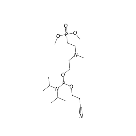 COP(=O)(CCN(C)CCOP(OCCC#N)N(C(C)C)C(C)C)OC